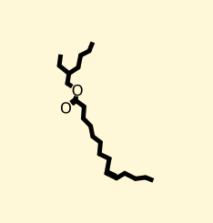 CCCC/C=C\CCCCCCCC(=O)OCC(CC)CCCC